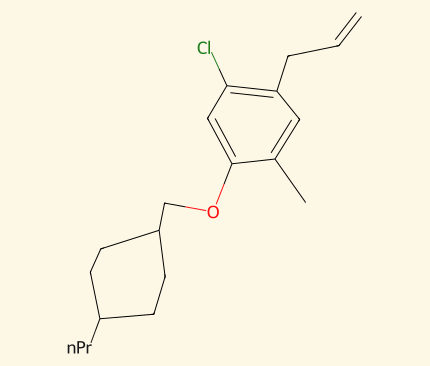 C=CCc1cc(C)c(OCC2CCC(CCC)CC2)cc1Cl